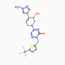 Cn1cc(C2=CCN(c3cnn(Cc4ccc(C(F)(F)F)s4)c(=O)n3)CC2O)cn1